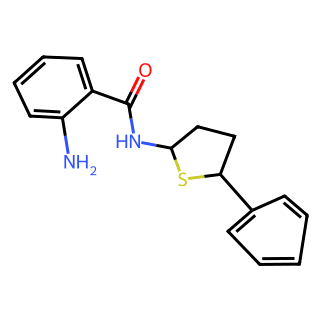 Nc1ccccc1C(=O)NC1CCC(c2ccccc2)S1